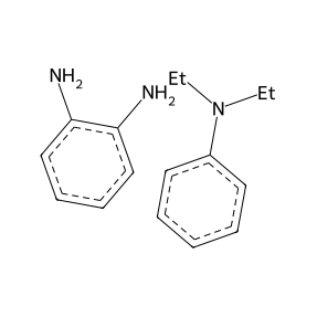 CCN(CC)c1ccccc1.Nc1ccccc1N